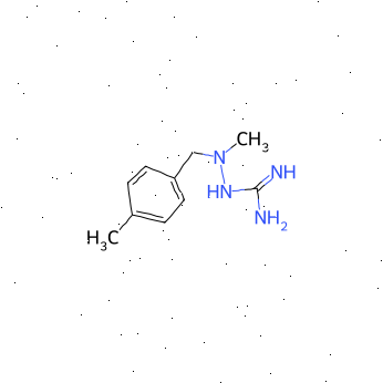 Cc1ccc(CN(C)NC(=N)N)cc1